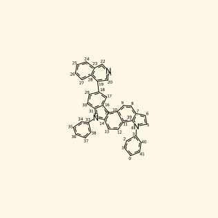 c1ccc(-n2ccc3ccc4c(ccc5c4c4cc(-c6cncc7ccccc67)ccc4n5-c4ccccc4)c32)cc1